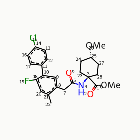 COC(=O)[C@]1(NC(=O)Cc2cc(-c3ccc(Cl)cc3)c(F)cc2C)CC[C@H](OC)CC1